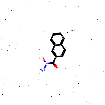 NN(O)C(=O)c1ccc2ccccc2c1